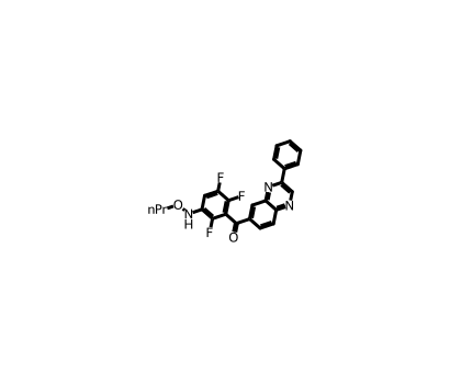 CCCONc1cc(F)c(F)c(C(=O)c2ccc3ncc(-c4ccccc4)nc3c2)c1F